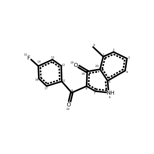 Cc1cccc2[nH]cc(C(=O)c3ccc(F)cc3)c(=O)c12